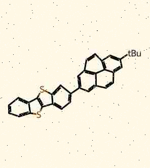 CC(C)(C)c1cc2ccc3cc(-c4ccc5c(c4)sc4c6ccccc6sc54)cc4ccc(c1)c2c34